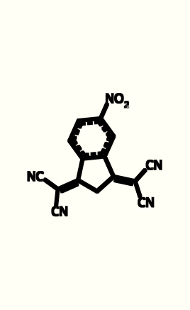 N#CC(C#N)=C1CC(=C(C#N)C#N)c2cc([N+](=O)[O-])ccc21